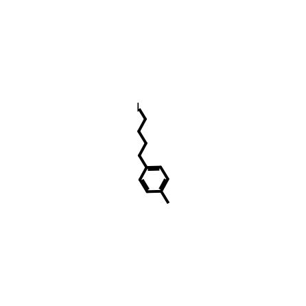 Cc1ccc(CCCCI)cc1